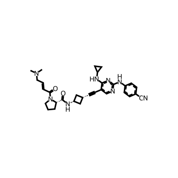 CN(C)C/C=C/C(=O)N1CCC[C@H]1C(=O)N[C@H]1C[C@@H](C#Cc2cnc(Nc3ccc(C#N)cc3)nc2NC2CC2)C1